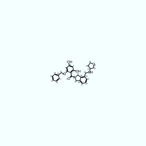 O=C(c1c(O)cc(O)cc1OCc1ccccc1)N1Cc2cccc(CNC3CCOC3)c2C1